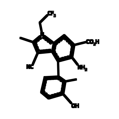 Cc1c(O)cccc1-c1c(N)c(C(=O)O)cc2c1c(C#N)c(C)n2CC(F)(F)F